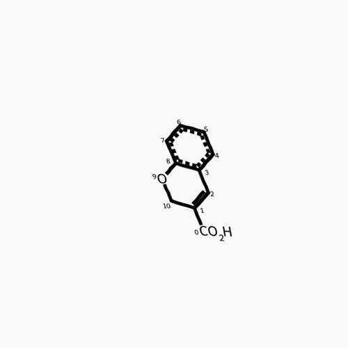 O=C(O)C1=Cc2ccccc2OC1